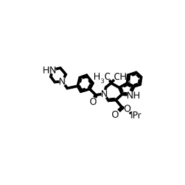 CC(C)OC(=O)C1=CN(C(=O)c2cccc(CN3CCNCC3)c2)CC(C)(C)c2c1[nH]c1ccccc21